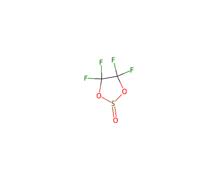 O=S1OC(F)(F)C(F)(F)O1